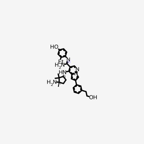 CCc1cc(O)ccc1/N=C(\N)c1cnn2cc(-c3cccc(CCO)c3)cc2c1N[C@@H]1CC[C@](C)(N)C1(C)C